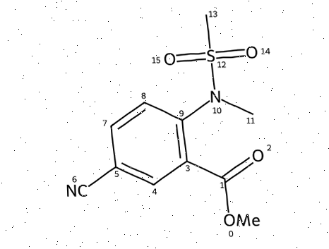 COC(=O)c1cc(C#N)ccc1N(C)S(C)(=O)=O